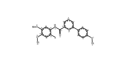 CCOc1ccc(-c2cncc(C(=O)Nc3cc(OC)c(OCC)cc3C)n2)cc1